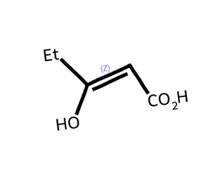 CC/C(O)=C/C(=O)O